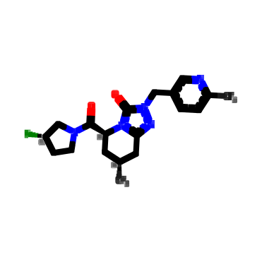 O=C([C@@H]1C[C@@H](C(F)(F)F)Cc2nn(Cc3ccc(C(F)(F)F)nc3)c(=O)n21)N1CC[C@H](F)C1